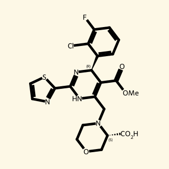 COC(=O)C1=C(CN2CCOC[C@H]2C(=O)O)NC(c2nccs2)=N[C@H]1c1cccc(F)c1Cl